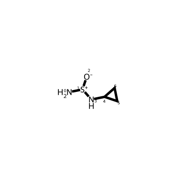 N[S+]([O-])NC1CC1